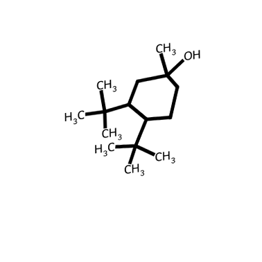 CC1(O)CCC(C(C)(C)C)C(C(C)(C)C)C1